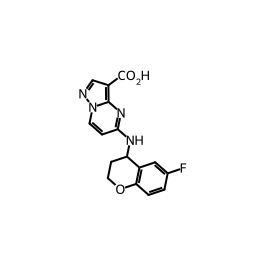 O=C(O)c1cnn2ccc(NC3CCOc4ccc(F)cc43)nc12